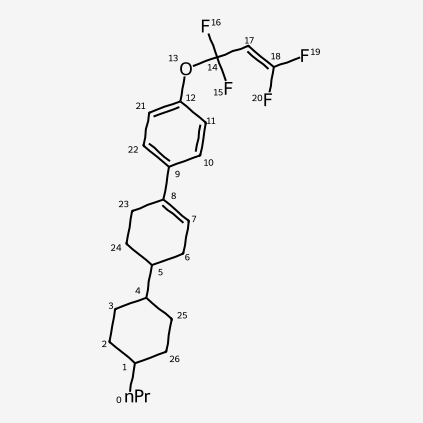 CCCC1CCC(C2CC=C(c3ccc(OC(F)(F)C=C(F)F)cc3)CC2)CC1